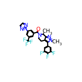 C[C@H]1c2nn(C)c(-c3cc(F)c(F)c(F)c3)c2CCN1C(=O)c1cc(-n2nccn2)cc(C(F)(F)F)c1